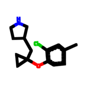 Cc1ccc(OC2(CC3CCNC3)CC2)c(Cl)c1